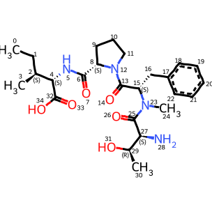 CC[C@H](C)[C@H](NC(=O)[C@@H]1CCCN1C(=O)[C@H](Cc1ccccc1)N(C)C(=O)[C@@H](N)[C@@H](C)O)C(=O)O